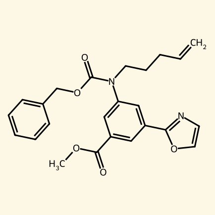 C=CCCCN(C(=O)OCc1ccccc1)c1cc(C(=O)OC)cc(-c2ncco2)c1